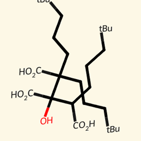 CC(C)(C)CCCC(C(=O)O)C(O)(C(=O)O)C(CCCC(C)(C)C)(CCCC(C)(C)C)C(=O)O